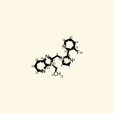 CCn1c(Cn2ccnc2-c2ncccc2F)nc2cccnc21